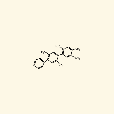 Cc1cc(-c2cc(C)c(-c3ccccc3)cc2C)[n+](C)cc1C